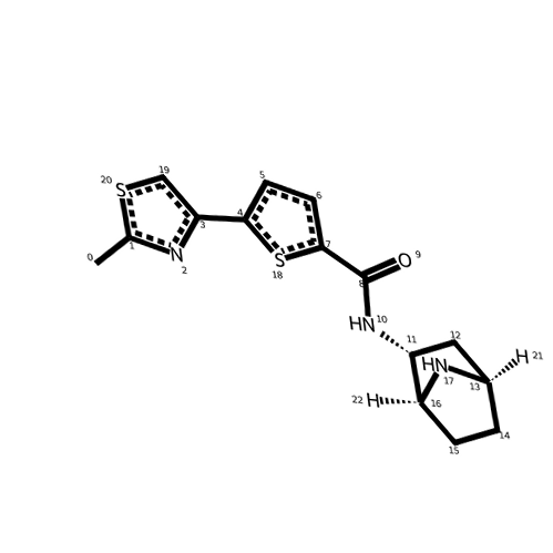 Cc1nc(-c2ccc(C(=O)N[C@@H]3C[C@H]4CC[C@@H]3N4)s2)cs1